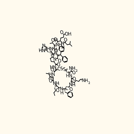 CCCC[C@@H]1NC(=O)[C@H]([C@@H](C)CC)NC(=O)[C@@H](NC(=O)C2CCCN2C(=O)[C@@H](NC(=O)[C@H](Cc2cnc[nH]2)NC(=O)[C@@H](NC(=O)C(CCC(=O)O)NC(=O)CC(C)C)C(C)O)C(c2ccccc2)c2ccccc2)CSSC[C@@H](C(N)=O)NC(=O)[C@@H](CCCCN)NC(=O)C[C@H](Cc2ccccc2)NC1=O